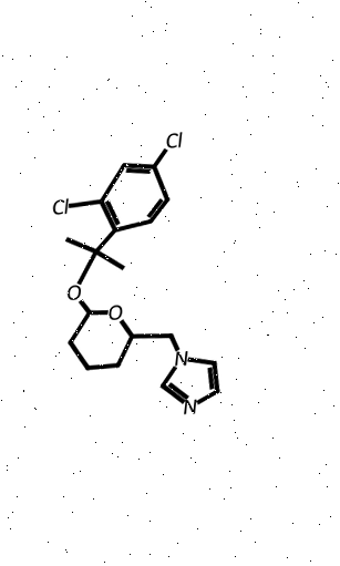 CC(C)(OC1CCCC(Cn2ccnc2)O1)c1ccc(Cl)cc1Cl